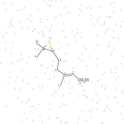 CCOC(=O)C=C(C)CCC1SC1(C)C